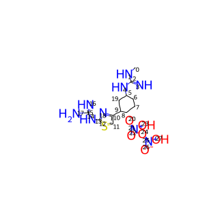 CNC(=N)NC1CCCC(c2csc(NC(=N)N)n2)C1.O=[N+]([O-])O.O=[N+]([O-])O